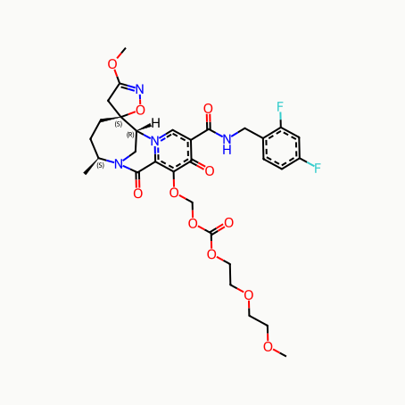 COCCOCCOC(=O)OCOc1c2n(cc(C(=O)NCc3ccc(F)cc3F)c1=O)[C@@H]1CN(C2=O)[C@@H](C)CC[C@]12CC(OC)=NO2